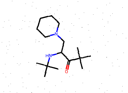 CC(C)(C)NC(CN1CCCCC1)C(=O)C(C)(C)C